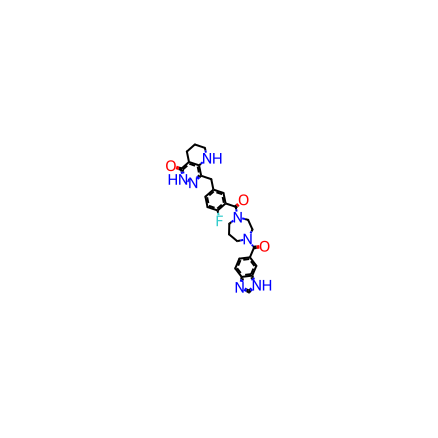 O=C(c1ccc2nc[nH]c2c1)N1CCCN(C(=O)c2cc(Cc3n[nH]c(=O)c4c3NCCC4)ccc2F)CC1